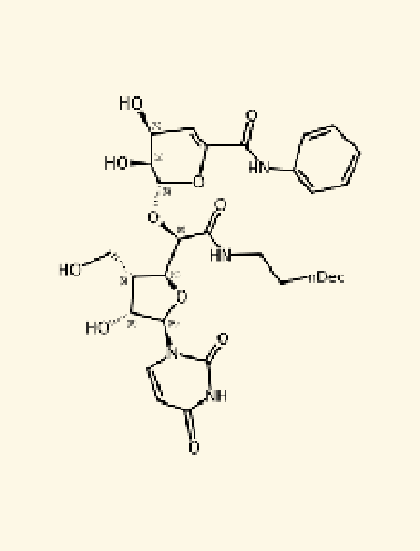 CCCCCCCCCCCCNC(=O)[C@H](O[C@H]1OC(C(=O)Nc2ccccc2)=C[C@H](O)[C@@H]1O)[C@H]1O[C@@H](n2ccc(=O)[nH]c2=O)[C@H](O)[C@@H]1CO